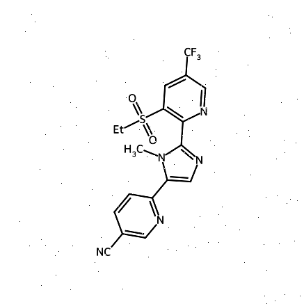 CCS(=O)(=O)c1cc(C(F)(F)F)cnc1-c1ncc(-c2ccc(C#N)cn2)n1C